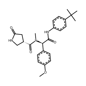 COc1ccc([C@H](C(=O)Nc2ccc(C(C)(C)C)cc2)N(C)C(=O)[C@@H]2CNC(=O)C2)cc1